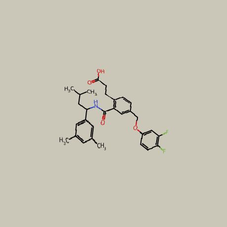 Cc1cc(C)cc(C(CC(C)C)NC(=O)c2cc(COc3ccc(F)c(F)c3)ccc2CCC(=O)O)c1